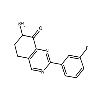 BC1CCc2cnc(-c3cccc(F)c3)nc2C1=O